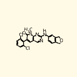 Cn1c(=O)c(-c2c(Cl)cccc2Cl)cc2cnc(Nc3ccc4c(c3)COC4)nc21